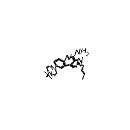 CCCCn1cc2c(n1)c(N)nc1ccc(N3CCN(C(C)(C)C)CC3)cc12